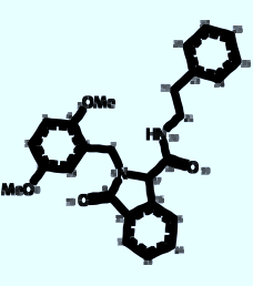 COc1ccc(OC)c(CN2C(=O)c3ccccc3C2C(=O)NCCc2ccccc2)c1